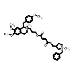 COc1ccc(CC2c3cc(OC)c(OC)cc3CC[N+]2(C)CCCOC(=O)/C=C/C(=O)OCC2CC[N+](C)(Cc3ccccc3)C2)cc1